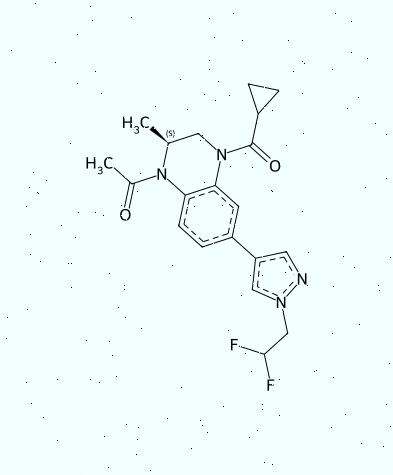 CC(=O)N1c2ccc(-c3cnn(CC(F)F)c3)cc2N(C(=O)C2CC2)C[C@@H]1C